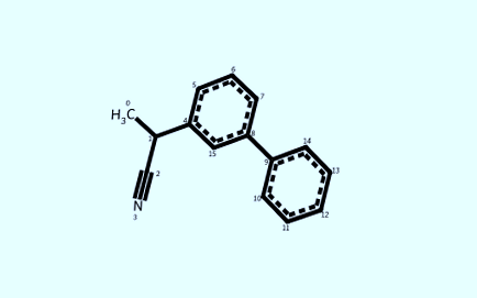 CC(C#N)c1cccc(-c2ccccc2)c1